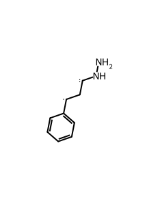 NN[C]C[CH]c1ccccc1